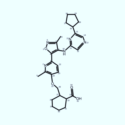 Cc1nc(-c2onc(C)c2Nc2cncc(C3CCCC3)n2)ccc1OCC1CCCCC1C(=O)O